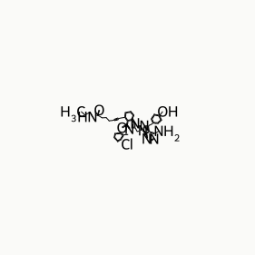 CCCNC(=O)CCCC#Cc1cccc2nc(Cn3nc(-c4ccc(O)cc4)c4c(N)ncnc43)n(Cc3ccccc3Cl)c(=O)c12